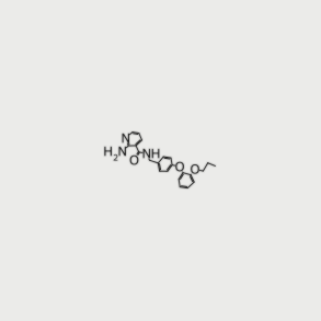 CCCOc1ccccc1Oc1ccc(CNC(=O)c2cccnc2N)cc1